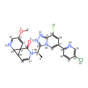 COC1=CC23C(=O)N([C@H](C)c4nnc5c(F)cc(-c6ccc(Cl)cn6)cn45)C=CC2C3N=C1